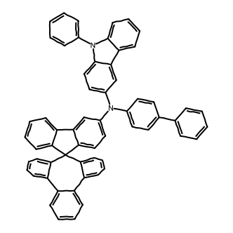 c1ccc(-c2ccc(N(c3ccc4c(c3)-c3ccccc3C43c4ccccc4-c4ccccc4-c4ccccc43)c3ccc4c(c3)c3ccccc3n4-c3ccccc3)cc2)cc1